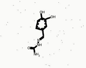 NC(=O)NN=Cc1ccc(O)c(O)c1